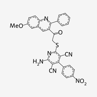 COc1ccc2nc(-c3ccccc3)c(C(=O)CSc3nc(N)c(C#N)c(-c4ccc([N+](=O)[O-])cc4)c3C#N)cc2c1